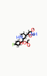 CC(=O)O.O=c1cc(C2CCNC(Cc3ccc(F)cc3)C2)o[nH]1